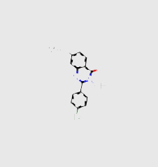 COc1ccc2c(=O)n(C)c(-c3ccc(Br)cc3)nc2c1